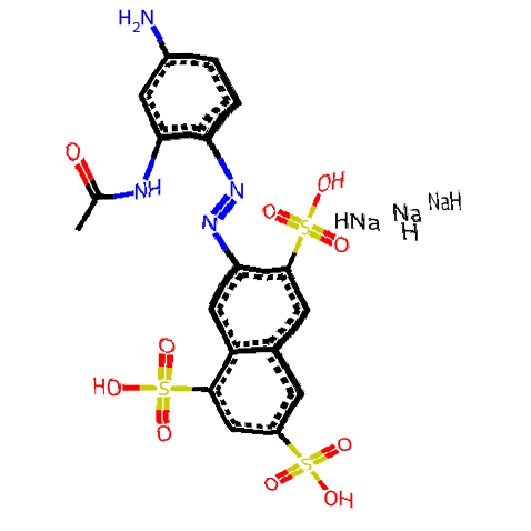 CC(=O)Nc1cc(N)ccc1/N=N/c1cc2c(S(=O)(=O)O)cc(S(=O)(=O)O)cc2cc1S(=O)(=O)O.[NaH].[NaH].[NaH]